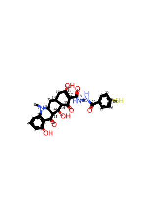 CN1c2cccc(O)c2C(=O)C2C(O)C3C(=O)C(C(=O)NNC(=O)c4ccc(S)cc4)=C(O)CC3CC21